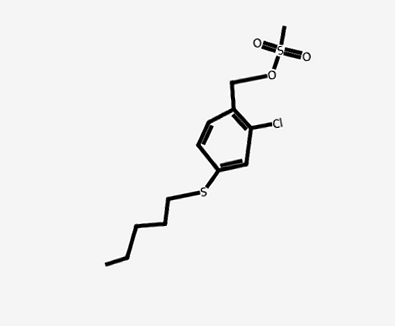 CCCCCSc1ccc(COS(C)(=O)=O)c(Cl)c1